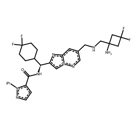 CC(C)n1nccc1C(=O)N[C@H](c1cn2ncc(CNCC3(N)CC(F)(F)C3)cc2n1)C1CCC(F)(F)CC1